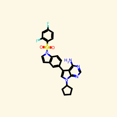 Nc1ncnc2c1c(-c1ccc3c(ccn3S(=O)(=O)c3ccc(F)cc3F)c1)cn2C1CCCC1